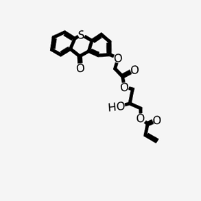 C=CC(=O)OCC(O)COC(=O)COc1ccc2sc3ccccc3c(=O)c2c1